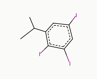 CC(C)c1cc(I)cc(I)c1I